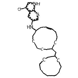 Clc1c[nH]c2ncc(NC3C/C=C\CCCC(CC4CCCCCCCCCC4)CCCCC3)cc12